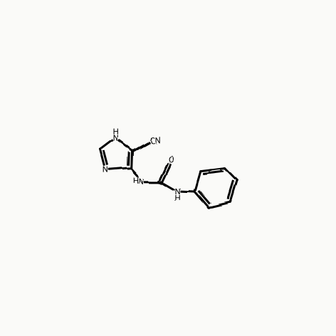 N#Cc1[nH]cnc1NC(=O)Nc1ccccc1